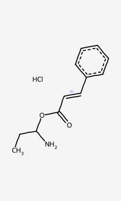 CCC(N)OC(=O)/C=C/c1ccccc1.Cl